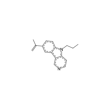 C=C(C)c1ccc2c(c1)c1cnccc1n2CCC